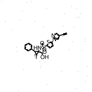 C#Cc1cnn(-c2ccc(S(=O)(=O)N[C@]3(C(=O)O)C(c4ccccc4)[C@@H]3C)s2)c1